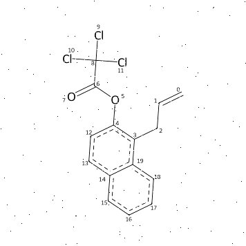 C=CCc1c(OC(=O)C(Cl)(Cl)Cl)ccc2ccccc12